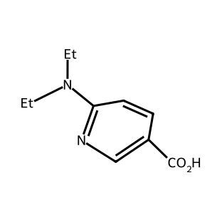 CCN(CC)c1ccc(C(=O)O)cn1